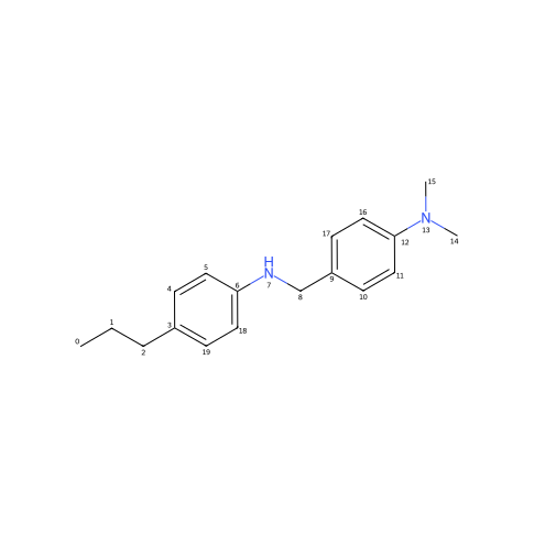 CCCc1ccc(NCc2ccc(N(C)C)cc2)cc1